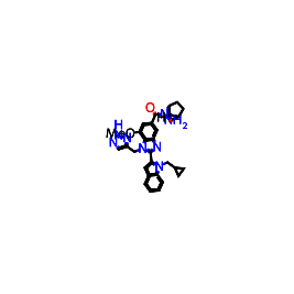 COc1cc(C(=O)N2CC3CCC2[C@@H]3N)cc2nc(-c3cc4ccccc4n3CC3CC3)n(Cc3cn[nH]n3)c12